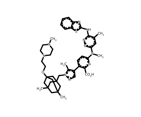 Cc1cc(N(C)c2ccc(-c3cnn(CC45CC6(C)CC(C)(C4)CC(OCCN4CCN(C)CC4)(C6)C5)c3C)c(C(=O)O)n2)nnc1Nc1nc2ccccc2s1